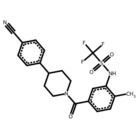 Cc1ccc(C(=O)N2CCC(c3ccc(C#N)cc3)CC2)cc1NS(=O)(=O)C(F)(F)F